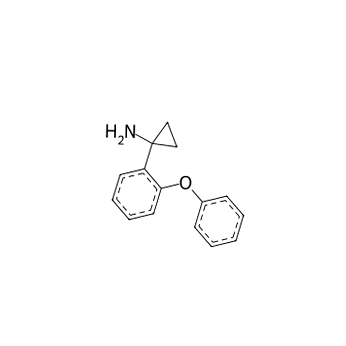 NC1(c2ccccc2Oc2ccccc2)CC1